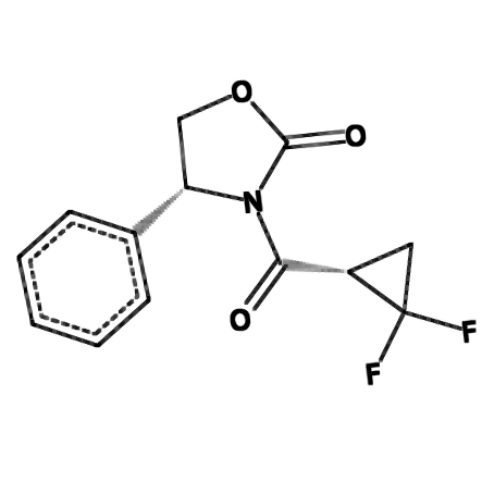 O=C1OC[C@@H](c2ccccc2)N1C(=O)[C@@H]1CC1(F)F